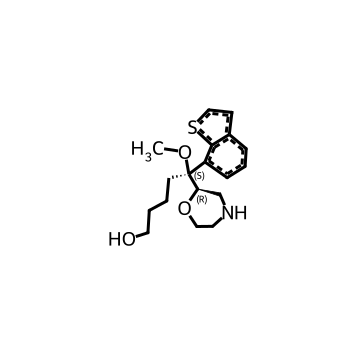 CO[C@@](CCCCO)(c1cccc2ccsc12)[C@H]1CNCCO1